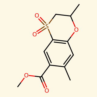 COC(=O)c1cc2c(cc1C)OC(C)CS2(=O)=O